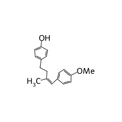 COc1ccc(C=C(C)CCc2ccc(O)cc2)cc1